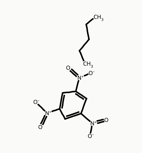 CCCCC.O=[N+]([O-])c1cc([N+](=O)[O-])cc([N+](=O)[O-])c1